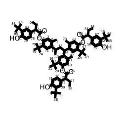 CCC(C(=O)Oc1cc(C)c(C(C)CC(c2cc(C(C)(C)C)c(OC(=O)C(CC)c3ccc(O)c(C(C)(C)C)c3)cc2C)c2cc(C(C)(C)C)c(OC(=O)C(CC)c3ccc(O)c(C(C)(C)C)c3)cc2C)cc1C(C)(C)C)c1ccc(O)c(C(C)(C)C)c1